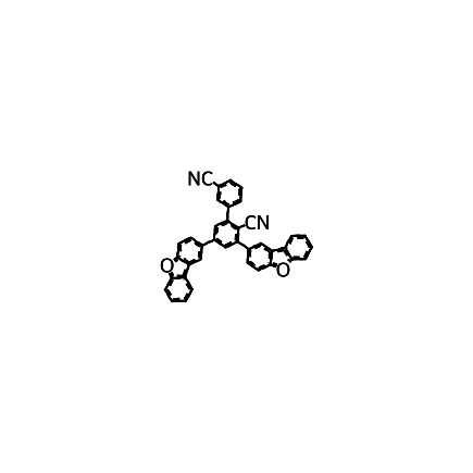 N#Cc1cccc(-c2cc(-c3ccc4oc5ccccc5c4c3)cc(-c3ccc4oc5ccccc5c4c3)c2C#N)c1